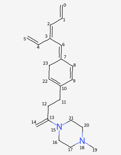 C=C/C=C(C=C)\C=C1\C=CC(CCC(=C)N2CCN(C)CC2)=CC1